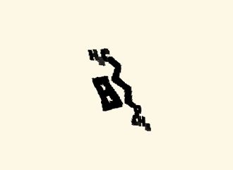 CCCCCOC.c1cc2ccc1-2